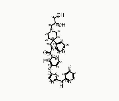 Cc1ccnc(Nc2ncc(Sc3ccnc(C(=O)NCC4(c5ccncc5)CCN(C[C@H](O)CO)CC4)c3F)s2)c1